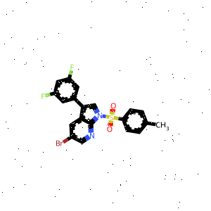 Cc1ccc(S(=O)(=O)n2cc(-c3cc(F)cc(F)c3)c3cc(Br)cnc32)cc1